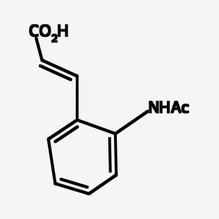 CC(=O)Nc1ccccc1/C=C/C(=O)O